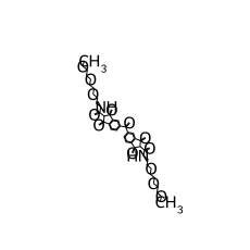 COCCOCCOCCNC(=O)C1C(=O)c2ccc(C(=O)c3ccc4c(c3)C(=O)C(C(=O)NCCOCCOCCOC)C4=O)cc2C1=O